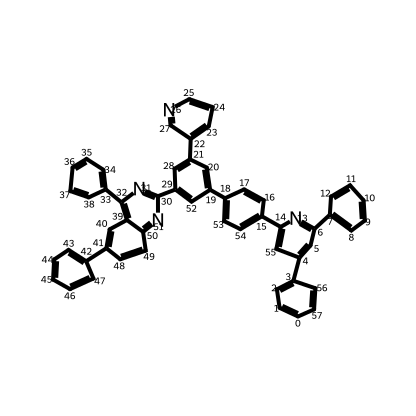 c1ccc(-c2cc(-c3ccccc3)nc(-c3ccc(-c4cc(-c5cccnc5)cc(-c5nc(-c6ccccc6)c6cc(-c7ccccc7)ccc6n5)c4)cc3)c2)cc1